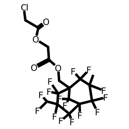 CC1(F)C(F)(F)C2(F)C(F)(F)C(F)(C(F)F)C(F)(F)C(COC(=O)COC(=O)CCl)(C1(F)F)C2(F)F